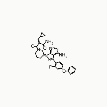 NC(=O)C(=CC1CC1)C(=O)N1CCC[C@@H](n2nc(-c3ccc(Oc4ccccc4)cc3F)c3c(N)ncnc32)C1